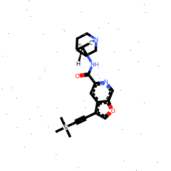 C[Si](C)(C)C#Cc1coc2cnc(C(=O)N[C@H]3CN4CCC3CC4)cc12